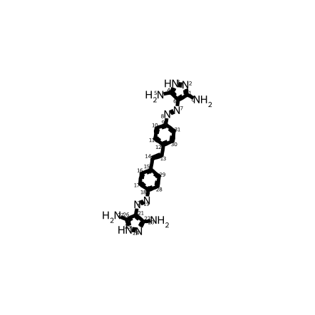 Nc1n[nH]c(N)c1/N=N/c1ccc(/C=C/c2ccc(/N=N/c3c(N)n[nH]c3N)cc2)cc1